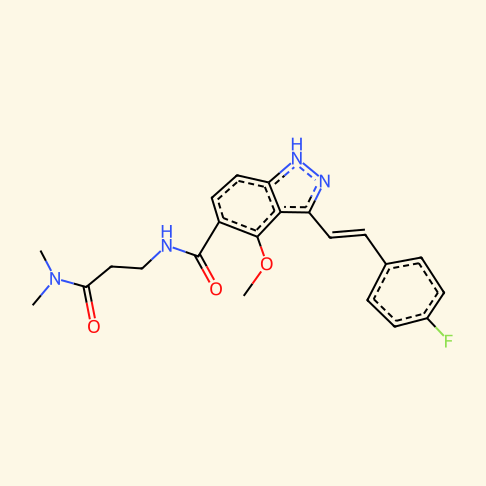 COc1c(C(=O)NCCC(=O)N(C)C)ccc2[nH]nc(/C=C/c3ccc(F)cc3)c12